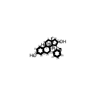 CO[C@H]1[C@H]2[C@H]3[C@H](CC[C@]2(C)C[C@H]1O)c1ccc(O)cc1C[C@H]3c1ccccc1